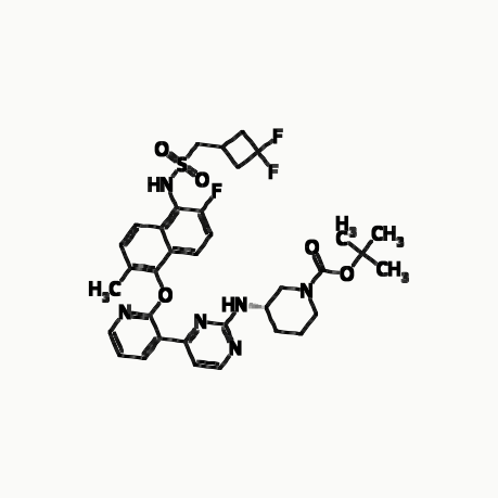 Cc1ccc2c(NS(=O)(=O)CC3CC(F)(F)C3)c(F)ccc2c1Oc1ncccc1-c1ccnc(N[C@H]2CCCN(C(=O)OC(C)(C)C)C2)n1